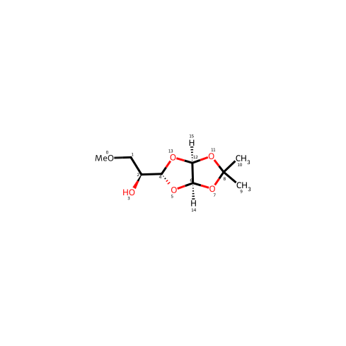 COC[C@H](O)[C@H]1O[C@@H]2OC(C)(C)O[C@@H]2O1